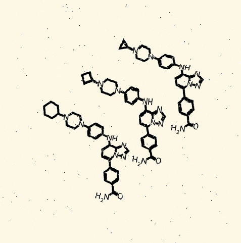 NC(=O)c1ccc(-c2ccc(Nc3ccc(N4CCN(C5CC5)CC4)cc3)c3ncnn23)cc1.NC(=O)c1ccc(-c2ccc(Nc3ccc(N4CCN(C5CCC5)CC4)cc3)c3ncnn23)cc1.NC(=O)c1ccc(-c2ccc(Nc3ccc(N4CCN(C5CCCCC5)CC4)cc3)c3ncnn23)cc1